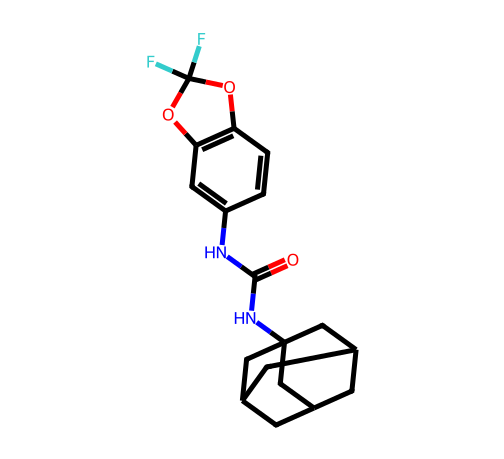 O=C(Nc1ccc2c(c1)OC(F)(F)O2)NC12CC3CC(CC(C3)C1)C2